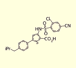 CC(C)Cc1ccc(-c2cc(NS(=O)(=O)c3ccc(C#N)cc3Cl)c(C(=O)O)s2)cc1